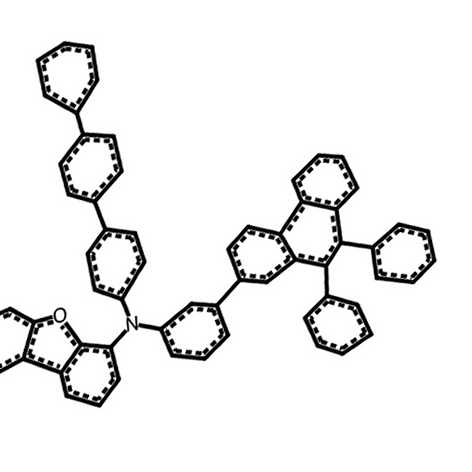 c1ccc(-c2ccc(-c3ccc(N(c4cccc(-c5ccc6c(c5)c(-c5ccccc5)c(-c5ccccc5)c5ccccc56)c4)c4cccc5c4oc4ccccc45)cc3)cc2)cc1